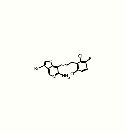 Nc1ncc2c(Br)coc2c1OCCc1c(Cl)ccc(F)c1Cl